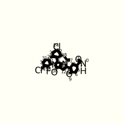 CNC(=O)c1ccc(OC)c(-c2cc3c(n2C(C)C)C(c2ccc(Cl)cc2C)N(c2cccc(Cl)c2F)C3=O)c1